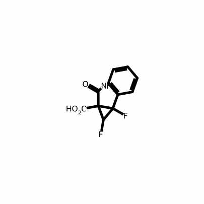 NC(=O)C1(C(=O)O)C(F)C1(F)c1ccccc1